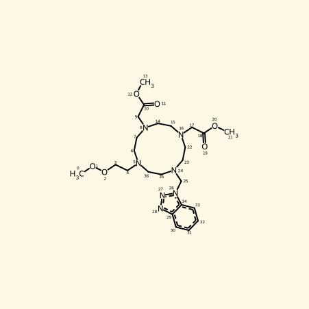 COOCCN1CCN(CC(=O)OC)CCN(CC(=O)OC)CCN(Cn2nnc3ccccc32)CC1